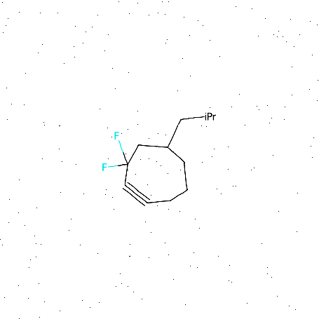 CC(C)CC1CCCC#CC(F)(F)C1